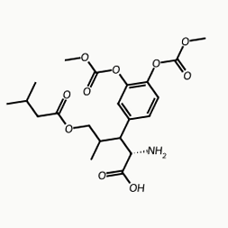 COC(=O)Oc1ccc(C(C(C)COC(=O)CC(C)C)[C@H](N)C(=O)O)cc1OC(=O)OC